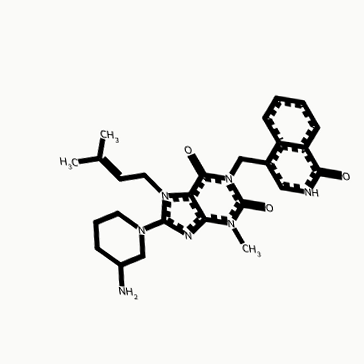 CC(C)=CCn1c(N2CCCC(N)C2)nc2c1c(=O)n(Cc1c[nH]c(=O)c3ccccc13)c(=O)n2C